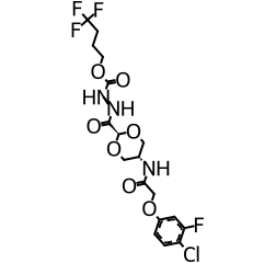 O=C(COc1ccc(Cl)c(F)c1)N[C@H]1CO[C@H](C(=O)NNC(=O)OCCCC(F)(F)F)OC1